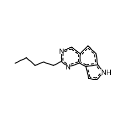 CCCCCc1ncc2ccc3[nH]ccc3c2n1